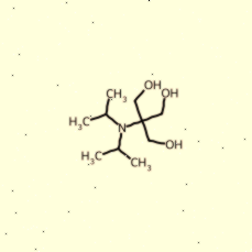 CC(C)N(C(C)C)C(CO)(CO)CO